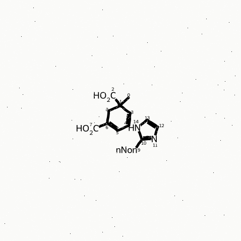 CC1(C(=O)O)C=CC=C(C(=O)O)C1.CCCCCCCCCc1ncc[nH]1